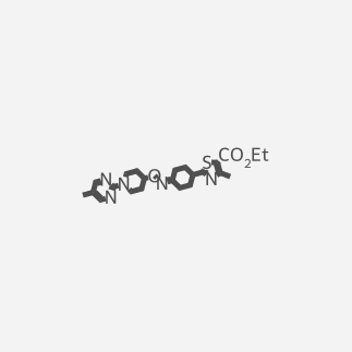 CCOC(=O)c1sc(C2CCC(=NOC3CCN(c4ncc(C)cn4)CC3)CC2)nc1C